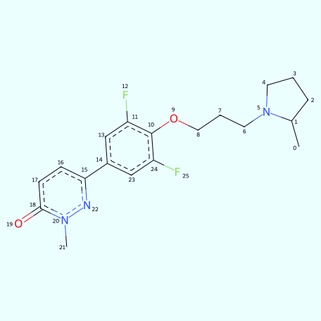 CC1CCCN1CCCOc1c(F)cc(-c2ccc(=O)n(C)n2)cc1F